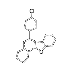 Clc1ccc(-c2cc3ccccc3c3oc4ccccc4c23)cc1